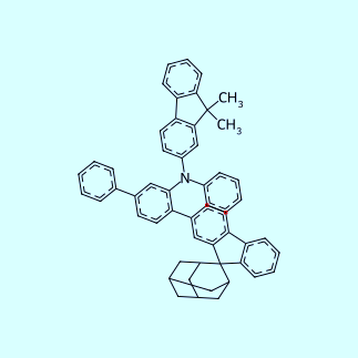 CC1(C)c2ccccc2-c2ccc(N(c3ccccc3)c3cc(-c4ccccc4)ccc3-c3ccc4c(c3)C3(c5ccccc5-4)C4CC5CC(C4)CC3C5)cc21